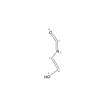 O=C=NC=CO